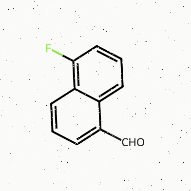 O=Cc1cccc2c(F)cccc12